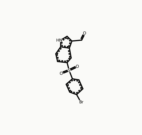 O=Cc1c[nH]c2ccc(S(=O)(=O)c3ccc(Br)cc3)cc12